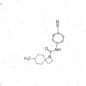 CC1CCC2(CC1)CCN2C(=O)Nc1ccc(C#N)cc1